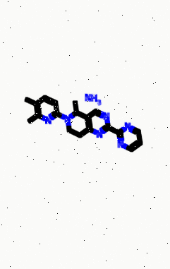 Cc1ccc(N2CCc3nc(-c4ncccn4)ncc3C2C)nc1C.N